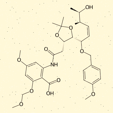 COCOc1cc(OC)cc(NC(=O)C[C@@H]2OC(C)(C)O[C@@H]2C(/C=C\[C@@H](C)[C@@H](C)O)OCc2ccc(OC)cc2)c1C(=O)O